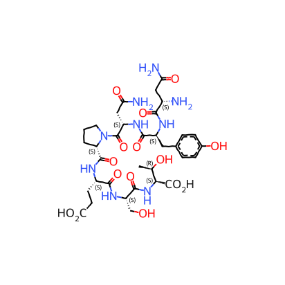 C[C@@H](O)[C@H](NC(=O)[C@H](CO)NC(=O)[C@H](CCC(=O)O)NC(=O)[C@@H]1CCCN1C(=O)[C@H](CC(N)=O)NC(=O)[C@H](Cc1ccc(O)cc1)NC(=O)[C@@H](N)CC(N)=O)C(=O)O